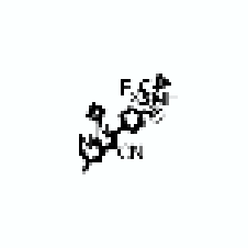 Cc1cnc2c(c1)c(C#N)c(-c1ccc(S(=O)(=O)NC3(C(F)(F)F)CC3)cc1)n2C1=CC=C1